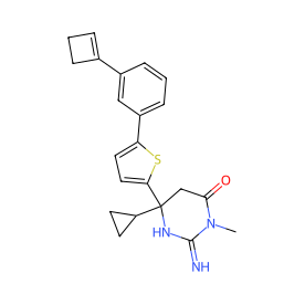 CN1C(=N)NC(c2ccc(-c3cccc(C4=CCC4)c3)s2)(C2CC2)CC1=O